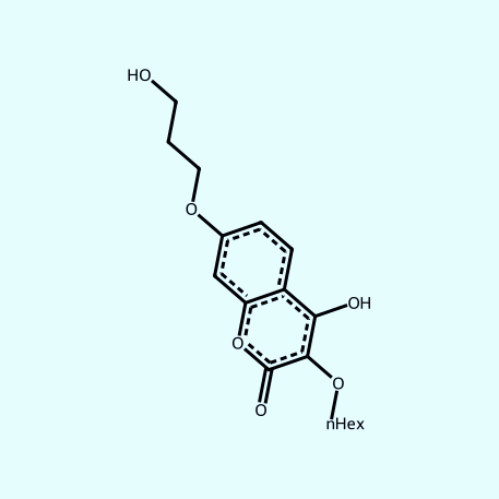 CCCCCCOc1c(O)c2ccc(OCCCO)cc2oc1=O